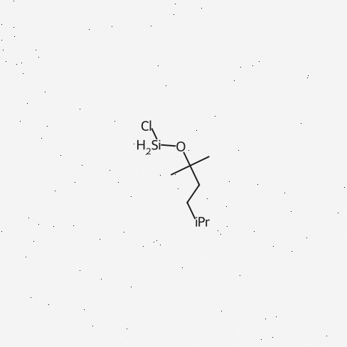 CC(C)CCC(C)(C)O[SiH2]Cl